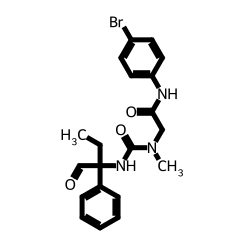 CCC(C=O)(NC(=O)N(C)CC(=O)Nc1ccc(Br)cc1)c1ccccc1